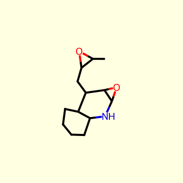 CC1OC1CC1C2CCCCC2NC2OC21